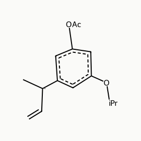 C=C[C](C)c1cc(OC(C)=O)cc(OC(C)C)c1